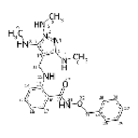 CNc1nn(NC)c(NC)c1CNc1ccccc1C(=O)NOCc1ccccc1